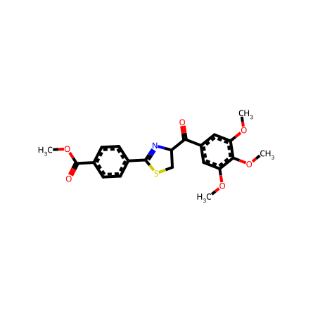 COC(=O)c1ccc(C2=NC(C(=O)c3cc(OC)c(OC)c(OC)c3)CS2)cc1